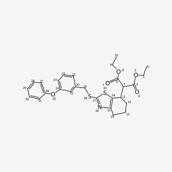 CCOC(=O)C(C(=O)OCC)C1CCCc2nc(SCc3cccc(Oc4ccccc4)c3)sc21